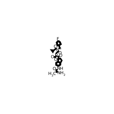 CC(N)C(=O)Nc1ccc2c(c1)CCC21OC(=O)N(CC(=O)N(Cc2ccc(F)cc2)C(C)C2CC2)C1=O